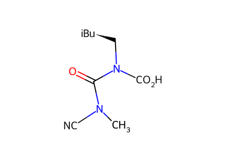 CC[C@H](C)CN(C(=O)O)C(=O)N(C)C#N